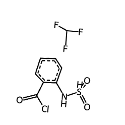 FC(F)F.O=C(Cl)c1ccccc1N[SH](=O)=O